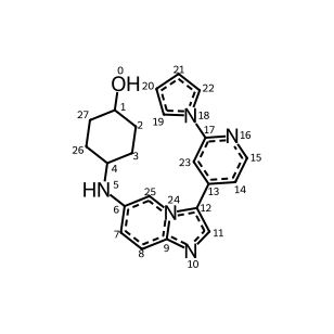 OC1CCC(Nc2ccc3ncc(-c4ccnc(-n5cccc5)c4)n3c2)CC1